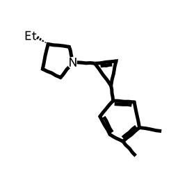 CC[C@H]1CCN(C2=CC2c2ccc(C)c(C)c2)C1